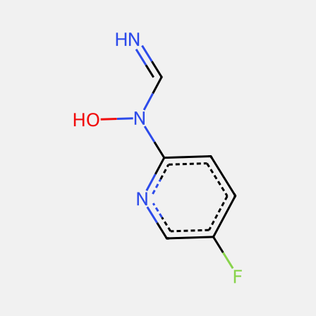 N=CN(O)c1ccc(F)cn1